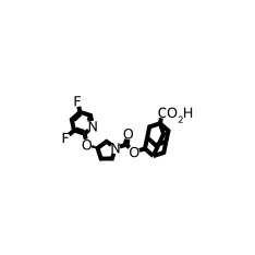 O=C(OC1C2CC3CC1CC(C(=O)O)(C3)C2)N1CC[C@@H](Oc2ncc(F)cc2F)C1